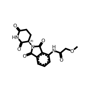 COCC(=O)Nc1cccc2c1C(=O)N([C@@H]1CCC(=O)NC1=O)C2=O